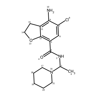 CC(NC(=O)c1cc(Cl)c(N)c2c1OCC2)N1CCCCC1